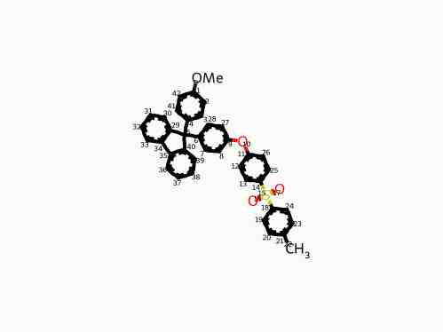 COc1ccc(C2(c3ccc(Oc4ccc(S(=O)(=O)c5ccc(C)cc5)cc4)cc3)c3ccccc3-c3ccccc32)cc1